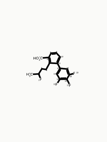 CC(F)CCc1c(C(=O)O)cccc1-c1cc(F)c(F)c(F)c1